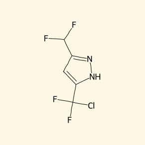 FC(F)c1cc(C(F)(F)Cl)[nH]n1